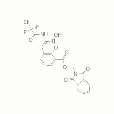 CCC(F)(F)C(=O)N[C@H]1Cc2cccc(C(=O)OCN3C(=O)c4ccccc4C3=O)c2OB1O